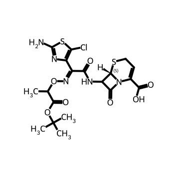 CC(ON=C(C(=O)NC1C(=O)N2C(C(=O)O)=CCS[C@@H]12)c1nc(N)sc1Cl)C(=O)OC(C)(C)C